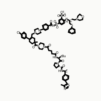 Cc1ncsc1-c1ccc([C@H](C)NC(=O)[C@@H]2CCCN2C(=O)C(NC(=O)CCCC(=O)N2CCN(C(=O)C3(C)CCC(c4ccc(Cl)cc4)=C(CN4CCN(c5ccc(C(=O)NS(=O)(=O)c6ccc(N[C@H](CCN7CCOCC7)CSc7ccccc7)c(S(=O)(=O)C(F)(F)F)c6)cc5)CC4)C3)CC2)C(C)(C)C)cc1